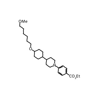 CCOC(=O)c1ccc(N2CCC(C3CCC(OCCCCCCOC)CC3)CC2)cc1